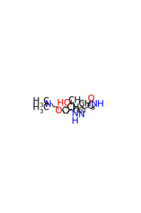 Cc1c(-c2cc[nH]c(=O)c2)cnc2[nH]c(-c3ccc(OCCCN(C)C)cc3)c(CC(C)(C)O)c12